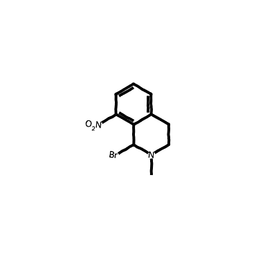 CN1CCc2cccc([N+](=O)[O-])c2C1Br